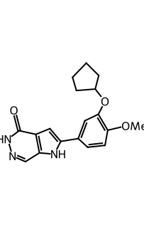 COc1ccc(-c2cc3c(=O)[nH]ncc3[nH]2)cc1OC1CCCC1